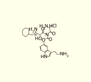 CC(N)C(=O)N(C(=O)Oc1ccc2[nH]cc(CCN)c2c1)C(=O)C(O)[C@H](N)CC1CCCCC1.Cl